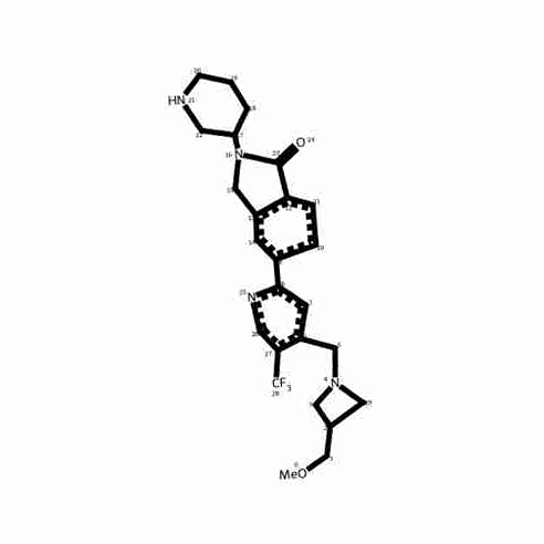 COCC1CN(Cc2cc(-c3ccc4c(c3)CN(C3CCCNC3)C4=O)ncc2C(F)(F)F)C1